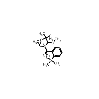 CCN(C(=O)c1ccccc1[Si](C)(C)C)C(OC)C(C)(C)C